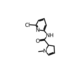 CN1C=CCC1C(=O)Nc1cccc(Cl)n1